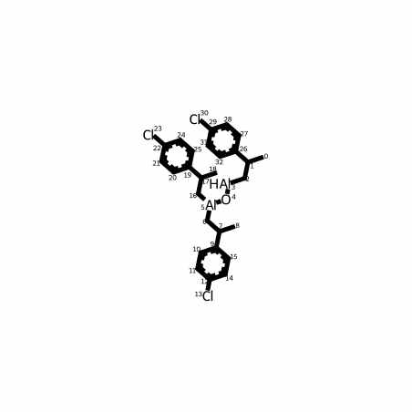 CC([CH2][AlH][O][Al]([CH2]C(C)c1ccc(Cl)cc1)[CH2]C(C)c1ccc(Cl)cc1)c1ccc(Cl)cc1